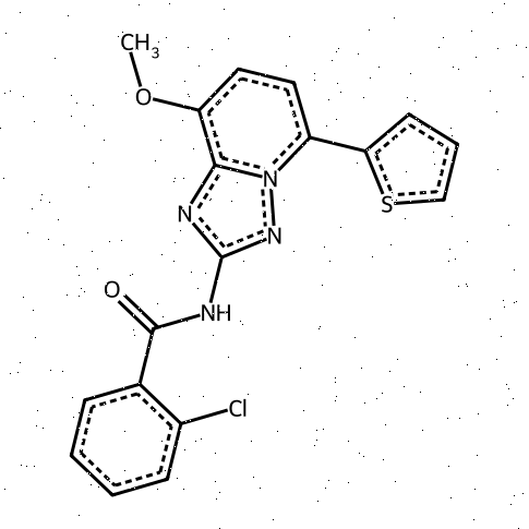 COc1ccc(-c2cccs2)n2nc(NC(=O)c3ccccc3Cl)nc12